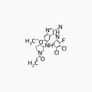 C=CC(=O)N1CCCC(Nc2cc3c(Nc4ccc(Cl)c(Cl)c4F)c(C#N)cnc3cc2OCC)C1